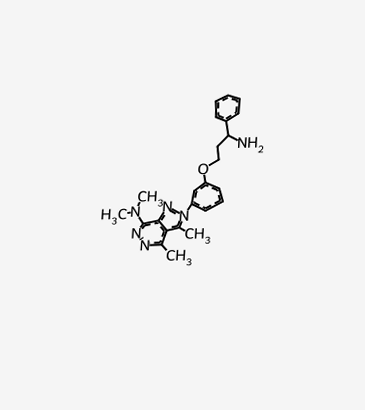 Cc1nnc(N(C)C)c2nn(-c3cccc(OCCC(N)c4ccccc4)c3)c(C)c12